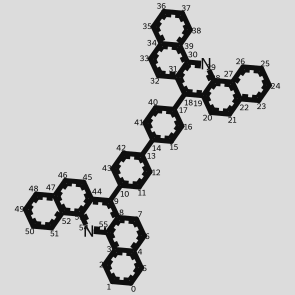 c1ccc2c(c1)ccc1c(-c3ccc(-c4ccc(-c5c6ccc7ccccc7c6nc6c5ccc5ccccc56)cc4)cc3)c3ccc4ccccc4c3nc12